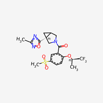 Cc1noc([C@]23CC2CN(C(=O)c2cc(S(C)(=O)=O)ccc2O[C@H](C)C(F)(F)F)C3)n1